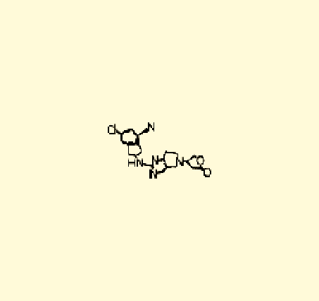 N#Cc1cc(Cl)cc2c1C[C@H](Nc1ncc3c(n1)CCN(C1COC(=O)C1)C3)C2